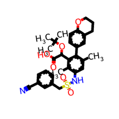 Cc1cc(NS(=O)(=O)Cc2cccc(C#N)c2)c(C)c(C(OC(C)(C)C)C(=O)O)c1-c1ccc2c(c1)CCCO2